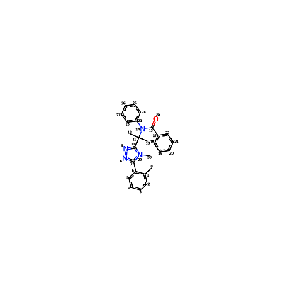 Cc1ccccc1-c1nnc(C(C)(C)N(C(=O)c2ccccc2)c2ccccc2)n1C